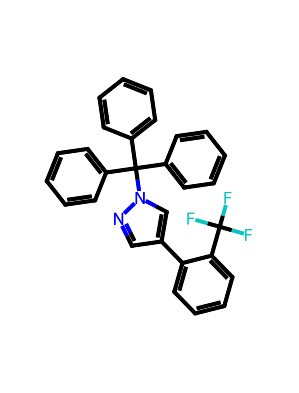 FC(F)(F)c1ccccc1-c1cnn(C(c2ccccc2)(c2ccccc2)c2ccccc2)c1